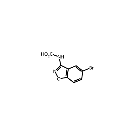 O=C(O)Nc1noc2ccc(Br)cc12